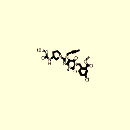 CC#CCn1c(N2CCCC(NC(=O)OC(C)(C)C)C2)nc2c1c(=O)n(Cc1ccc(Cl)cc1C(=O)OC(C)C)c(=O)n2C